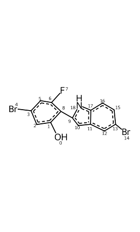 Oc1cc(Br)cc(F)c1-c1cc2cc(Br)ccc2[nH]1